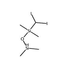 C[SiH](C)O[Si](C)(C)C(I)I